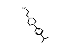 CC(C)c1cnc(N2CCN(CCO)CC2)nc1